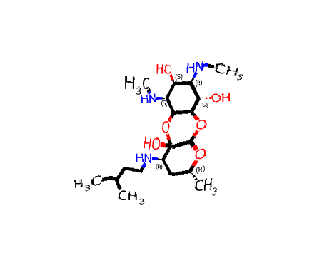 CN[C@@H]1[C@H](O)[C@H](NC)C2OC3(O)C(OC2[C@H]1O)O[C@H](C)C[C@H]3NCCC(C)C